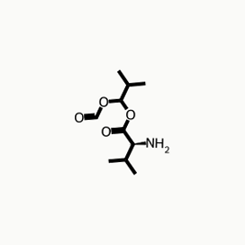 CC(C)C(OC=O)OC(=O)[C@@H](N)C(C)C